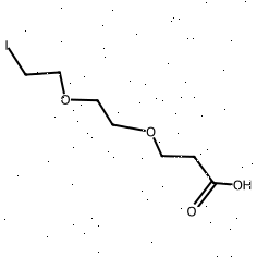 O=C(O)CCOCCOCCI